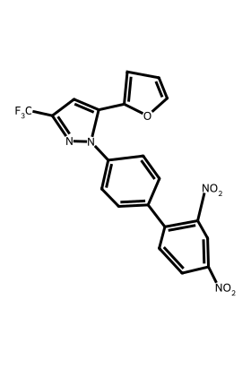 O=[N+]([O-])c1ccc(-c2ccc(-n3nc(C(F)(F)F)cc3-c3ccco3)cc2)c([N+](=O)[O-])c1